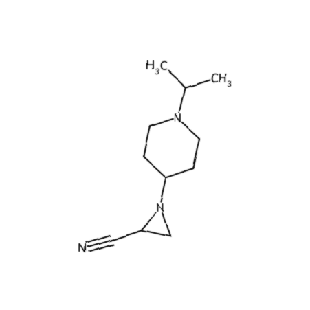 CC(C)N1CCC(N2CC2C#N)CC1